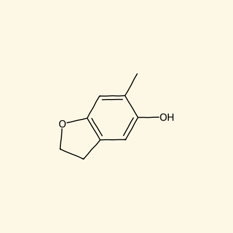 Cc1cc2c(cc1O)CCO2